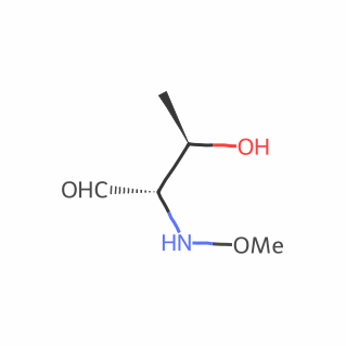 CON[C@H](C=O)[C@@H](C)O